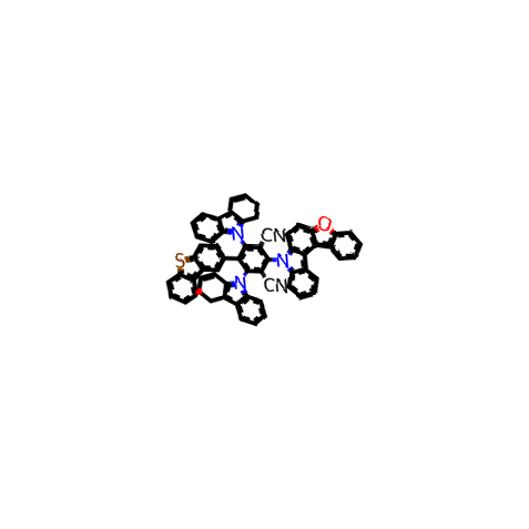 N#Cc1c(-n2c3c(c4ccccc42)CCC=C3)c(-c2ccc3sc4ccccc4c3c2)c(-n2c3c(c4ccccc42)C=CCC3)c(C#N)c1-n1c2ccccc2c2c3c(ccc21)oc1ccccc13